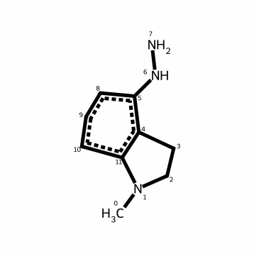 CN1CCc2c(NN)cccc21